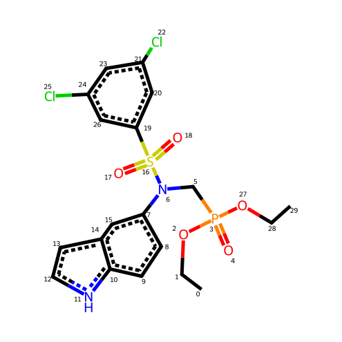 CCOP(=O)(CN(c1ccc2[nH]ccc2c1)S(=O)(=O)c1cc(Cl)cc(Cl)c1)OCC